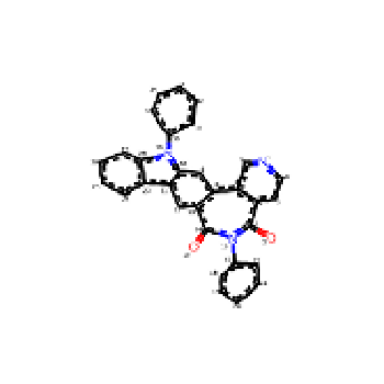 O=c1c2ccncc2c2cc3c(cc2c(=O)n1-c1ccccc1)c1ccccc1n3-c1ccccc1